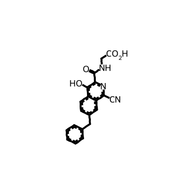 N#Cc1nc(C(=O)NCC(=O)O)c(O)c2ccc(Cc3ccccc3)cc12